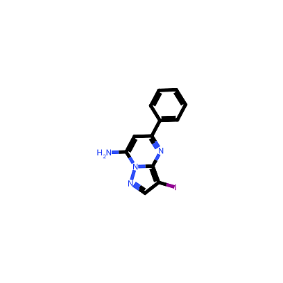 Nc1cc(-c2ccccc2)nc2c(I)cnn12